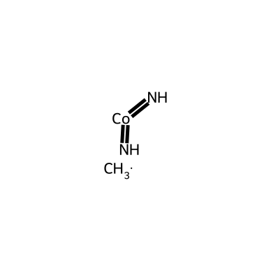 [CH3].[NH]=[Co]=[NH]